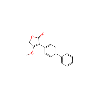 COC1=C(c2ccc(-c3ccccc3)cc2)C(=O)OC1